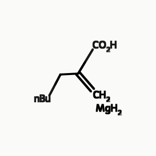 C=C(CCCCC)C(=O)O.[MgH2]